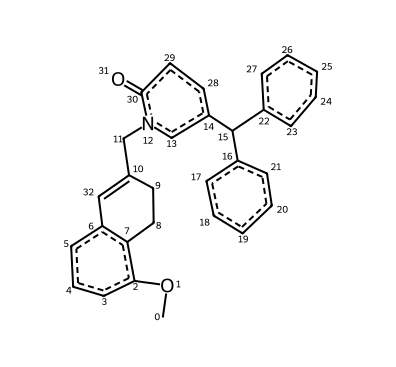 COc1cccc2c1CCC(Cn1cc(C(c3ccccc3)c3ccccc3)ccc1=O)=C2